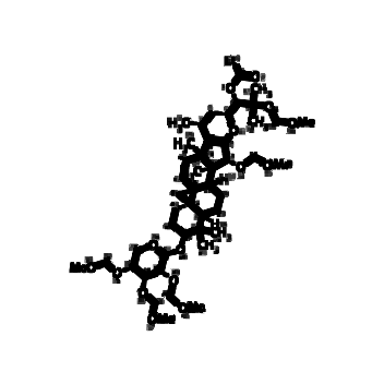 CCC(=O)O[C@@H]([C@H]1C[C@@H](C)C2=C(O1)[C@H](OCOC)[C@@]1(C)[C@@H]3CC[C@H]4C(C)(C)[C@@H](O[C@@H]5OC[C@@H](OCOC)[C@H](OCOC)[C@H]5OCOC)CC[C@@]45C[C@@]35CC[C@]21C)C(C)(C)OCOC